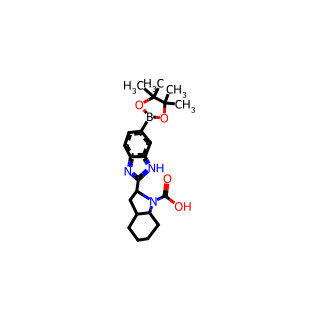 CC1(C)OB(c2ccc3nc(C4CC5CCCCC5N4C(=O)O)[nH]c3c2)OC1(C)C